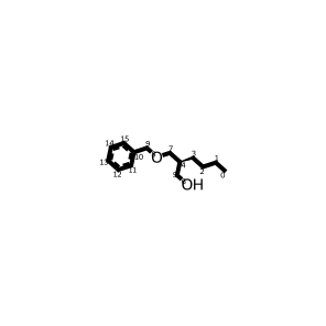 CCCC[C@@H](CO)COCc1ccccc1